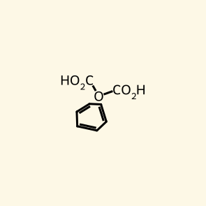 O=C(O)OC(=O)O.c1ccccc1